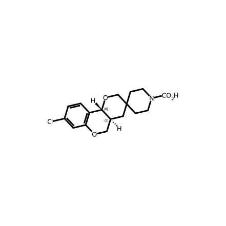 O=C(O)N1CCC2(CC1)CO[C@H]1c3ccc(Cl)cc3OC[C@@H]1C2